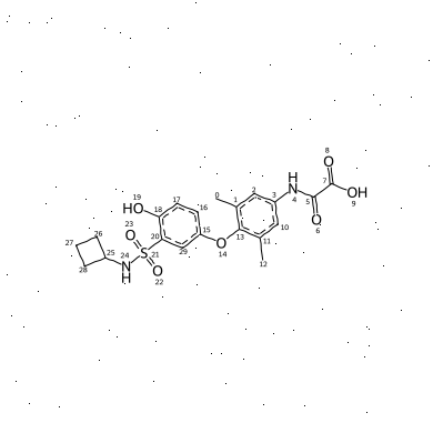 Cc1cc(NC(=O)C(=O)O)cc(C)c1Oc1ccc(O)c(S(=O)(=O)NC2CCC2)c1